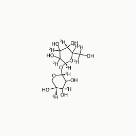 [2H]C([2H])(O)C1([2H])O[C@]([2H])(O[C@@]2([2H])OC[C@@]([2H])(O)[C@]([2H])(O)C2O)C([2H])(O)C([2H])(O)[C@]1([2H])O